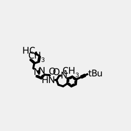 C#C/C=C\C(=C/C)Cn1ccc(C(=O)NC2CCc3ccc(C#CC(C)(C)C)cc3N(C)C2=O)n1